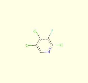 Fc1c(Cl)ncc(Cl)c1Cl